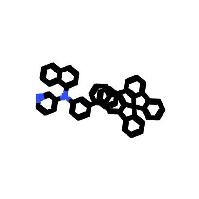 c1cncc(N(c2cccc(-c3ccc(-c4cccc5c4C4(c6ccccc6-c6cc7ccccc7cc64)c4ccccc4-5)cc3)c2)c2cccc3ccccc23)c1